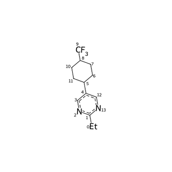 CCc1ncc(C2CCC(C(F)(F)F)CC2)cn1